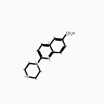 O=C(O)c1ccc2nc(N3CCOCC3)ccc2c1